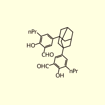 CCCc1cc(C23CC4CC(C2)CC(c2cc(C=O)c(O)c(CCC)c2)(C4)C3)cc(C=O)c1O